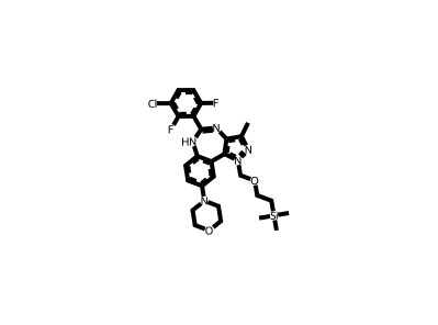 Cc1nn(COCC[Si](C)(C)C)c2c1N=C(c1c(F)ccc(Cl)c1F)Nc1ccc(N3CCOCC3)cc1-2